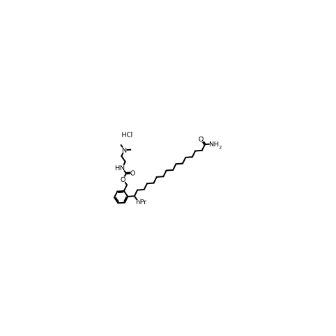 CCCC(CCCCCCCCCCCCCCC(N)=O)c1ccccc1COC(=O)NCCN(C)C.Cl